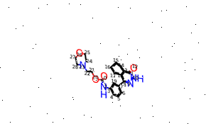 O=C(Nc1cccc(-c2n[nH]c(=O)c3ccccc23)c1)OCCN1CCOCC1